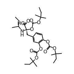 CCC(C)N[C@@](Cc1ccc(OC(=O)OC(C)(C)CC)c(OC(=O)OC(C)(C)CC)c1)(OC(=O)OC(C)(C)CC)C(=O)O